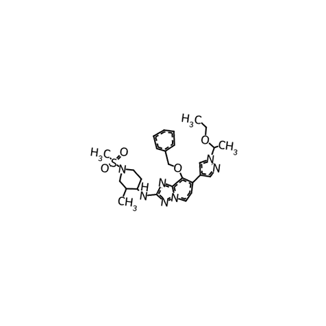 CCOC(C)n1cc(-c2ccn3nc(NC4CCN(S(C)(=O)=O)CC4C)nc3c2OCc2ccccc2)cn1